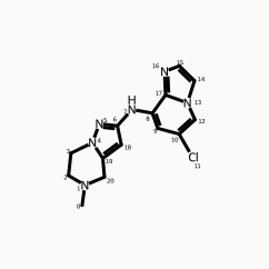 CN1CCn2nc(Nc3cc(Cl)cn4ccnc34)cc2C1